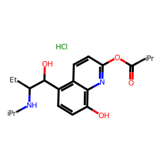 CCC(NC(C)C)C(O)c1ccc(O)c2nc(OC(=O)C(C)C)ccc12.Cl